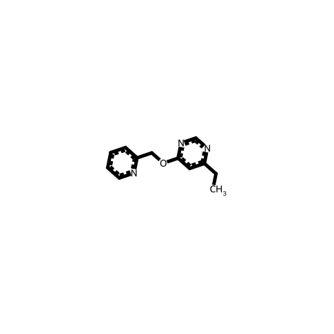 CCc1cc(OCc2ccccn2)ncn1